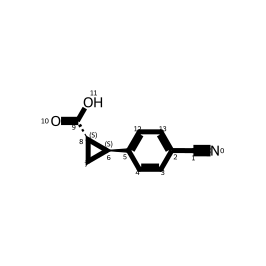 N#Cc1ccc([C@H]2C[C@@H]2C(=O)O)cc1